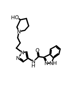 O=C(Nc1cnn(CCCN2CCCC(O)C2)c1)c1n[nH]c2ccccc12